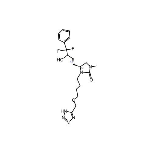 CN1C[C@H](/C=C/C(O)C(F)(F)c2ccccc2)N(CCCCOCc2nnn[nH]2)C1=O